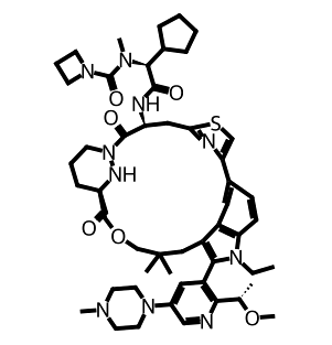 CCn1c(-c2cc(N3CCN(C)CC3)cnc2[C@H](C)OC)c2c3cc(ccc31)-c1csc(n1)C[C@H](NC(=O)[C@H](C1CCCC1)N(C)C(=O)N1CCC1)C(=O)N1CCCC(C=O)(COCC(C)(C)C2)N1